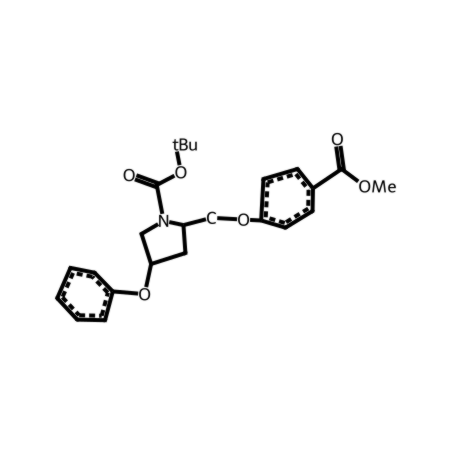 COC(=O)c1ccc(OCC2CC(Oc3ccccc3)CN2C(=O)OC(C)(C)C)cc1